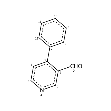 O=[C]c1cnccc1-c1ccccc1